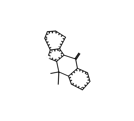 CC1(C)c2ccccc2C(=O)c2c1[nH]c1ccccc21